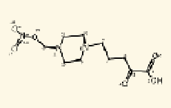 O=C(O)C(=O)CCCN1CCN(CO[N+](=O)[O-])CC1